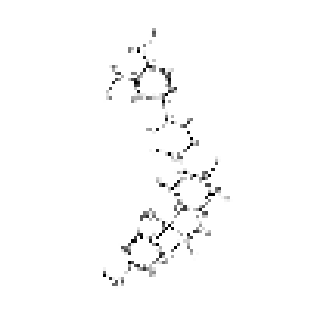 COc1ccc(C2(O)c3c(C)c(N4CCC(c5ccc(OC)c(OC)c5)CC4)c(C)c(C)c3OC2(C)C)cc1